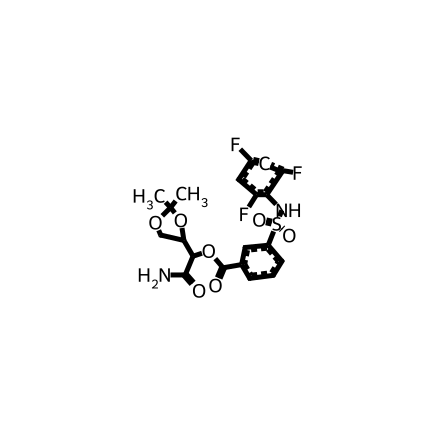 CC1(C)OCC(C(OC(=O)c2cccc(S(=O)(=O)Nc3c(F)cc(F)cc3F)c2)C(N)=O)O1